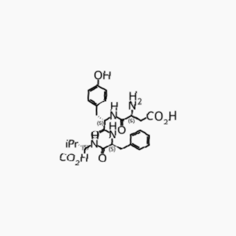 CC(C)[C@H](NC(=O)[C@H](Cc1ccccc1)NC(=O)[C@H](Cc1ccc(O)cc1)NC(=O)[C@@H](N)CC(=O)O)C(=O)O